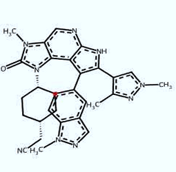 Cc1nn(C)cc1-c1[nH]c2ncc3c(c2c1-c1ccc2c(cnn2C)c1)n([C@H]1CC[C@@H](CC#N)CC1)c(=O)n3C